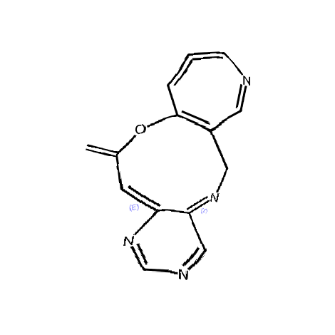 C=C1/C=c2/ncnc/c2=N/CC2=C(C=C=CN=C2)O1